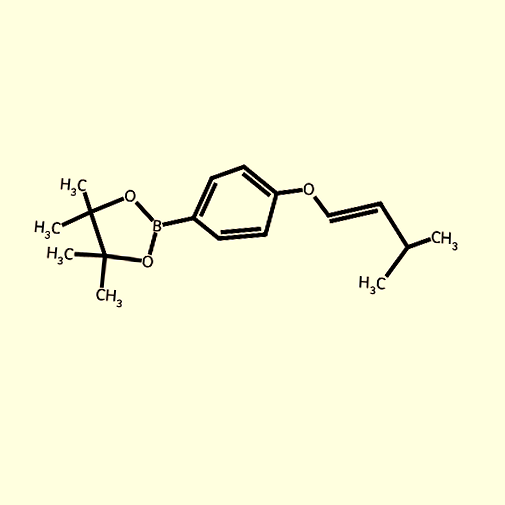 CC(C)/C=C/Oc1ccc(B2OC(C)(C)C(C)(C)O2)cc1